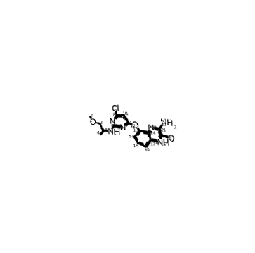 COCC(C)Nc1nc(Cl)cc(Oc2cccc3[nH]c(=O)c(N)nc23)n1